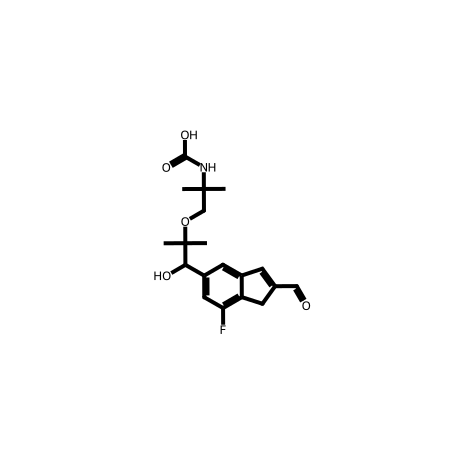 CC(C)(COC(C)(C)C(O)c1cc(F)c2c(c1)C=C(C=O)C2)NC(=O)O